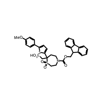 COc1ccc(-c2ccc(C3(CC(=O)O)CCN(C(=O)OCC4c5ccccc5-c5ccccc54)CCS3(=O)=O)s2)cc1